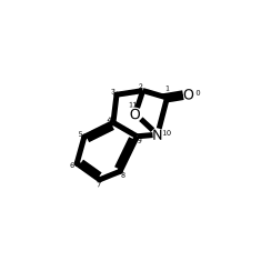 O=C1C2Cc3ccccc3N1O2